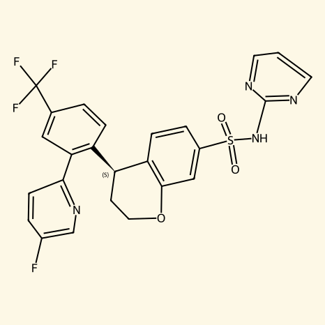 O=S(=O)(Nc1ncccn1)c1ccc2c(c1)OCC[C@H]2c1ccc(C(F)(F)F)cc1-c1ccc(F)cn1